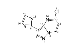 Clc1ccn2ncc(-c3cccs3)c2n1